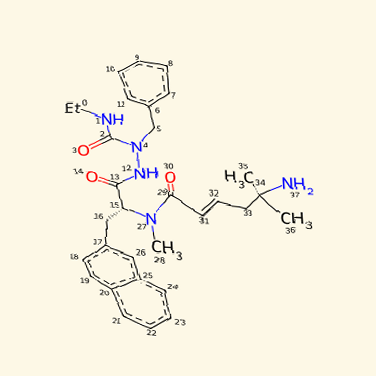 CCNC(=O)N(Cc1ccccc1)NC(=O)[C@@H](Cc1ccc2ccccc2c1)N(C)C(=O)C=CCC(C)(C)N